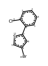 Clc1ccccc1-c1cc(Br)cs1